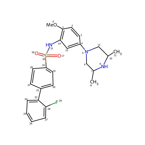 COc1ccc(N2CC(C)NC(C)C2)cc1NS(=O)(=O)c1ccc(-c2ccccc2F)cc1